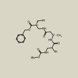 CC(C)C[C@@H](CNC(=O)C[C@H](C)NC(=O)C(CNC(=O)OC(C)(C)C)C(C)C)C(=O)OCc1ccccc1